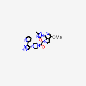 COc1cnc(-n2cnc(C)n2)c2c1ccn2C(=O)C(=O)N1CCN(c2c[nH]nc2-c2ccccn2)CC1